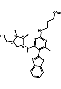 COCCCNc1nc(C)c(-c2nc3ccccc3s2)c(N[C@@H]2C[C@H](CO)[C@@H](C)[C@H]2C)n1